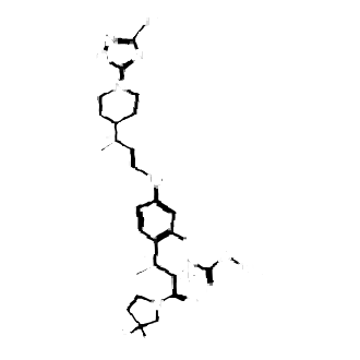 CC(C)c1noc(N2CCC([C@H](C)CCOc3ccc([C@H](C)[C@H](NC(=O)OC(C)(C)C)C(=O)N4CCC(F)(F)C4)c(F)c3)CC2)n1